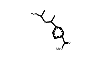 COC(=O)c1ccc(C(C)OC(C)OC)cc1